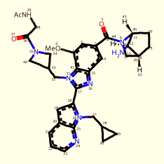 COc1cc(C(=O)N2C[C@H]3CC[C@@H]2[C@@H]3N)cc2nc(-c3cc4cccnc4n3CC3CC3)n(CC3CN(C(=O)CNC(C)=O)C3)c12